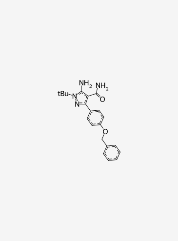 CC(C)(C)n1nc(-c2ccc(OCc3ccccc3)cc2)c(C(N)=O)c1N